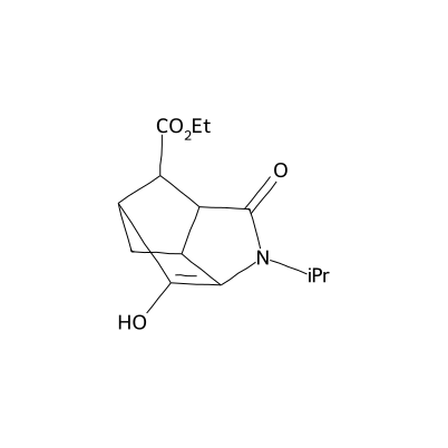 CCOC(=O)C1C2CC3C(=C2O)N(C(C)C)C(=O)C31